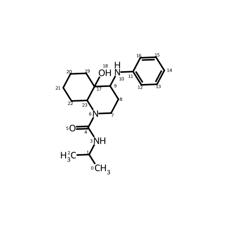 CC(C)NC(=O)N1CCC(Nc2ccccc2)C2(O)CCCCC12